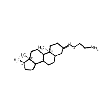 C[C@@H]1CCC2C3CCC4CC(=NOCCN)CC[C@]4(C)C3CC[C@@]21C